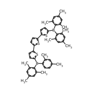 Cc1ccc(B(c2ccc(-c3ccc(-c4ccc(B(c5c(C)cc(C)cc5C)c5c(C)cc(C)cc5C)s4)s3)s2)c2c(C)cc(C)cc2C)c(C)c1